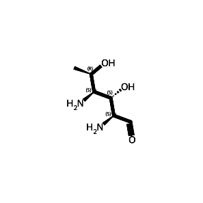 C[C@@H](O)[C@H](N)[C@H](O)[C@H](N)C=O